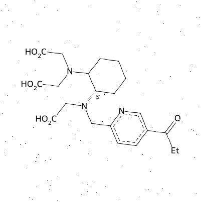 CCC(=O)c1ccc(CN(CC(=O)O)[C@H]2CCCCC2N(CC(=O)O)CC(=O)O)nc1